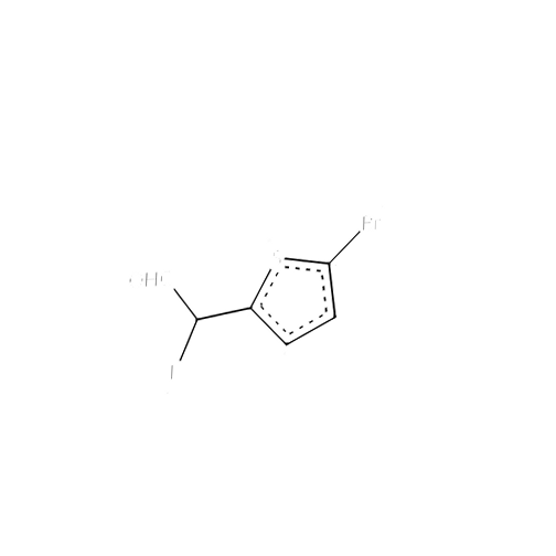 O=CC(F)c1ccc(Br)s1